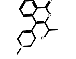 CC(Br)c1oc(=O)c2ccccc2c1C1=CCN(C)CC1